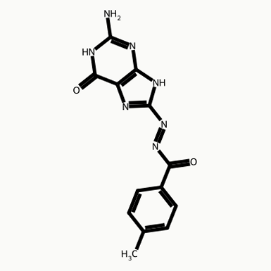 Cc1ccc(C(=O)/N=N/c2nc3c(=O)[nH]c(N)nc3[nH]2)cc1